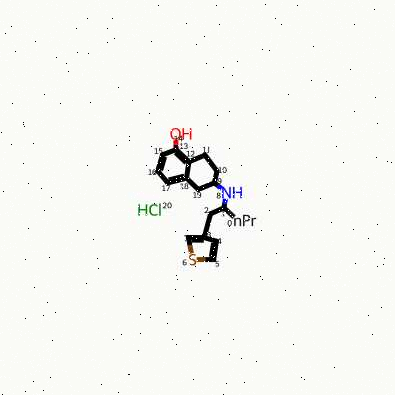 CCCC(Cc1ccsc1)NC1CCc2c(O)cccc2C1.Cl